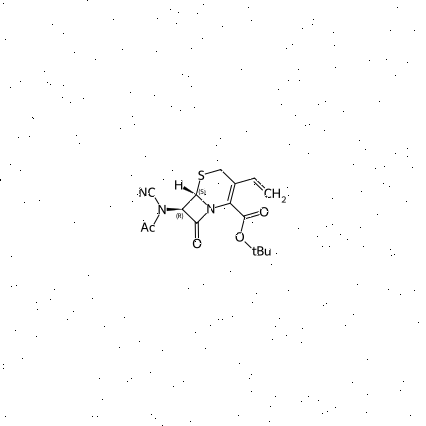 C=CC1=C(C(=O)OC(C)(C)C)N2C(=O)[C@@H](N(C#N)C(C)=O)[C@@H]2SC1